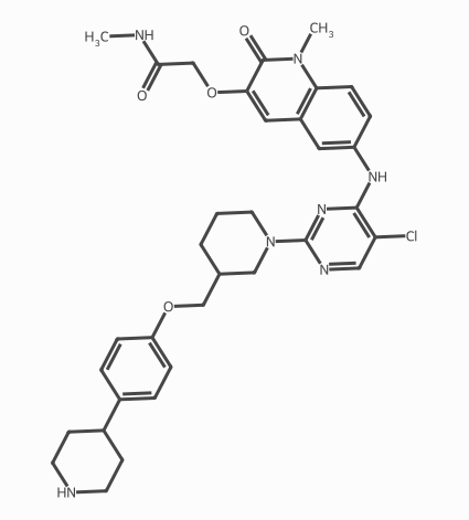 CNC(=O)COc1cc2cc(Nc3nc(N4CCCC(COc5ccc(C6CCNCC6)cc5)C4)ncc3Cl)ccc2n(C)c1=O